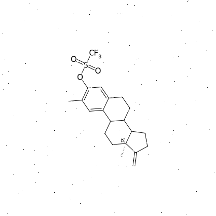 C=C1CCC2C3CCc4cc(OS(=O)(=O)C(F)(F)F)c(C)cc4C3CC[C@]12C